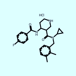 Cc1cccc(CN(C(=O)C2CNCCC2NC(=O)c2ccc(F)cc2)C2CC2)c1C.Cl